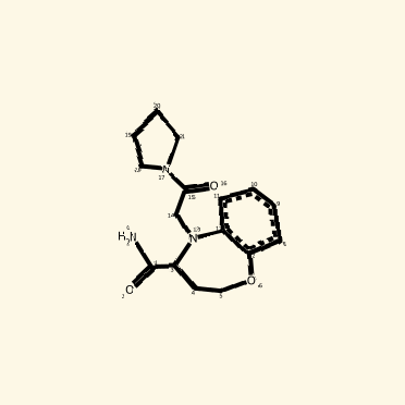 NC(=O)C1CCOc2cc[c]cc2N1CC(=O)N1CCCC1